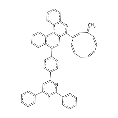 C=C1/C=C\C=C/C/C=C\C(c2nc3ccccc3c3c2cc(-c2ccc(-c4cc(-c5ccccc5)nc(-c5ccccc5)n4)cc2)c2ccccc23)=C/1